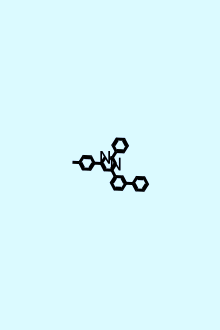 Cc1ccc(-c2cc(-c3cccc(-c4ccccc4)c3)nc(-c3ccccc3)n2)cc1